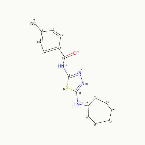 N#Cc1ccc(C(=O)Nc2nnc(NC3CCCCCC3)s2)cc1